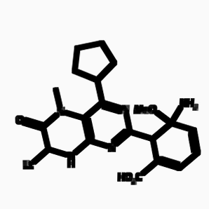 CCC1Nc2nc(C3C(C(=O)O)=CC=CC3(N)OC)nc(C3CCCC3)c2N(C)C1=O